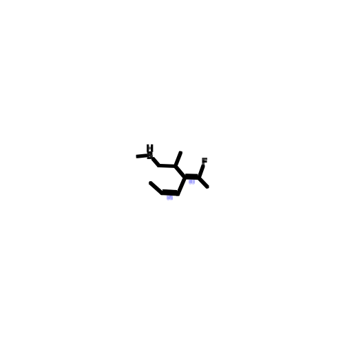 CBCC(C)C(/C=C\C)=C(/C)F